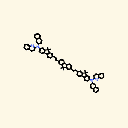 CC1(C)C2=CC(/C=C/c3ccc4c(c3)C(C)(C)c3cc(/C=C/c5ccc6c(c5)C(C)(C)c5cc(N(c7ccc8ccccc8c7)c7ccc8ccccc8n7)ccc5-6)ccc3-4)CC=C2c2ccc(N(c3ccc4ccccc4c3)c3ccc4ccccc4n3)cc21